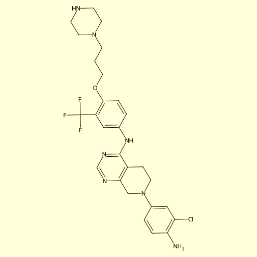 Nc1ccc(N2CCc3c(ncnc3Nc3ccc(OCCCN4CCNCC4)c(C(F)(F)F)c3)C2)cc1Cl